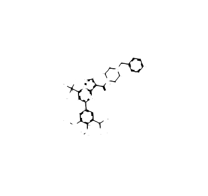 COc1cc(-c2cc(C(F)(F)F)n3ncc(C(=O)N4CCN(Cc5ccccc5)CC4)c3n2)cc(C(C)O)c1OC